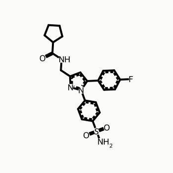 NS(=O)(=O)c1ccc(-n2nc(CNC(=O)C3CCCC3)cc2-c2ccc(F)cc2)cc1